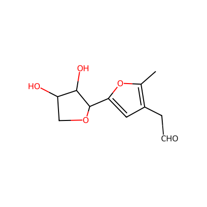 Cc1oc(C2OCC(O)C2O)cc1CC=O